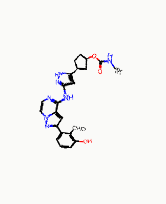 CC(C)NC(=O)O[C@@H]1CC[C@H](c2cc(Nc3nccn4nc(-c5cccc(O)c5C=O)cc34)n[nH]2)C1